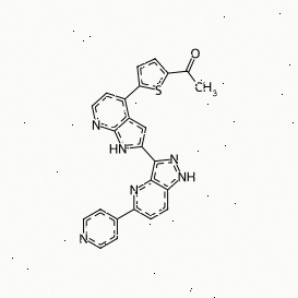 CC(=O)c1ccc(-c2ccnc3[nH]c(-c4n[nH]c5ccc(-c6ccncc6)nc45)cc23)s1